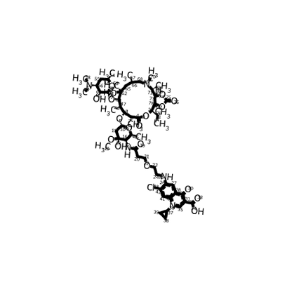 CC[C@H]1OC(=O)[C@H](C)[C@@H](O[C@H]2C[C@@](O)(OC)[C@H](NC(=O)CCOCCNc3cc4c(=O)c(C(=O)O)cn(C5CC5)c4cc3Cl)[C@H](C)O2)[C@H](C)[C@@H](O[C@@H]2O[C@H](C)C[C@H](N(C)C)[C@H]2O)[C@](C)(O)C[C@@H](C)CN(C)[C@H](C)[C@@H]2OC(=O)O[C@]12C